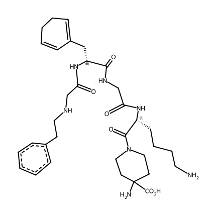 NCCCC[C@@H](NC(=O)CNC(=O)[C@@H](CC1=CCCC=C1)NC(=O)CNCCc1ccccc1)C(=O)N1CCC(N)(C(=O)O)CC1